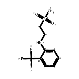 CS(=O)(=O)CCNc1ccccc1C(F)(F)F